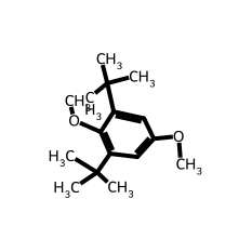 COc1cc(C(C)(C)C)c(OC)c(C(C)(C)C)c1